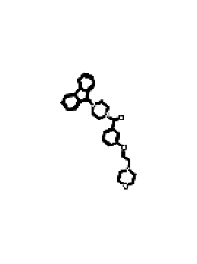 O=C(c1cccc(OCCN2CCOCC2)c1)N1CCN(C2c3ccccc3-c3ccccc32)CC1